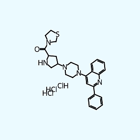 Cl.Cl.Cl.O=C(C1CC(N2CCN(c3cc(-c4ccccc4)nc4ccccc34)CC2)CN1)N1CCSC1